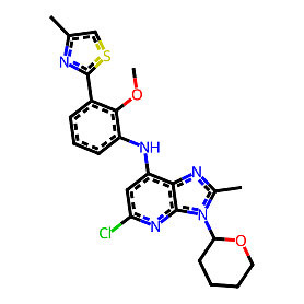 COc1c(Nc2cc(Cl)nc3c2nc(C)n3C2CCCCO2)cccc1-c1nc(C)cs1